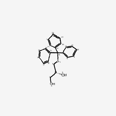 OC[C@@H](O)CSC(c1ccccc1)(c1ccccc1)c1ccccc1